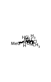 COCCCNc1ncnc2c1oc1nc(C)c(Cl)c(C)c12.Cl